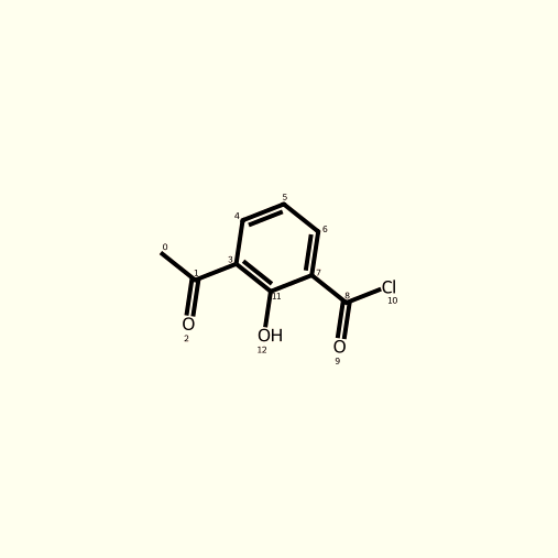 CC(=O)c1cccc(C(=O)Cl)c1O